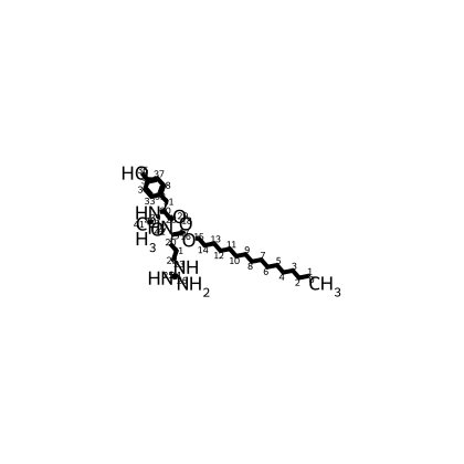 CCCCCCCCCCCCCCCCOC(=O)[C@H](CCCNC(=N)N)NC(=O)[C@H](Cc1ccc(O)cc1)NC(C)=O